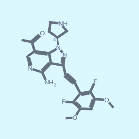 COc1cc(OC)c(F)c(C#Cc2nn([C@H]3CCNC3)c3c(C(C)=O)cnc(N)c23)c1F